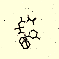 C=C(C)C(=O)OC(C)CC(C)(CC)C(=O)OC1(C2CCCC(C)C2)C2CC3CC(C2)CC1C3